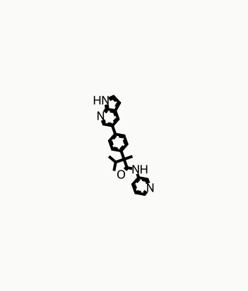 CC(C)C(C)(C(=O)Nc1cccnc1)c1ccc(-c2cnc3[nH]ccc3c2)cc1